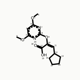 COc1cc(OC)nc(OC(=CC2CCCC2)C(=O)O)n1